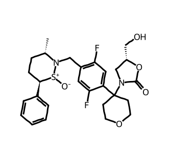 C[C@H]1CC[C@H](c2ccccc2)[S+]([O-])N1Cc1cc(F)c(C2(N3C[C@H](CO)OC3=O)CCOCC2)cc1F